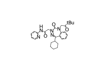 CC(C)(C)C(=O)CN1C(=O)N(CC(=O)Nc2ccccn2)N=C(C2CCCCC2)c2ccccc21